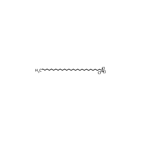 CCCCCCCCCCCCCCCCCCCCCCCCCCCC[Si](Cl)(Cl)Cl